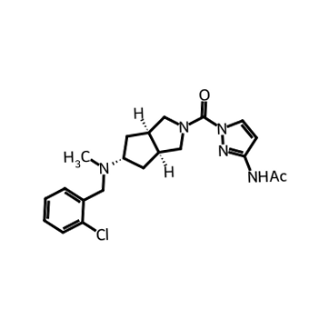 CC(=O)Nc1ccn(C(=O)N2C[C@H]3C[C@H](N(C)Cc4ccccc4Cl)C[C@H]3C2)n1